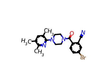 Cc1cc(C)c(N2CCN(C(=O)c3ccc(Br)cc3C#N)CC2)nc1C